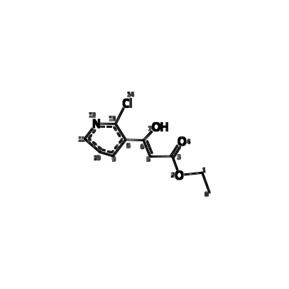 CCOC(=O)/C=C(\O)c1cccnc1Cl